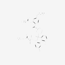 CCc1cccc(-c2c(Cl)cccc2[C@](O)(CCCNC(=O)OC)[C@@H]2CCCN(C(=O)c3ccc(CNC)cc3CC(N)=O)C2)c1